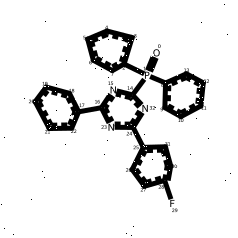 O=P(c1ccccc1)(c1ccccc1)c1nc(-c2ccccc2)nc(-c2ccc(F)cc2)n1